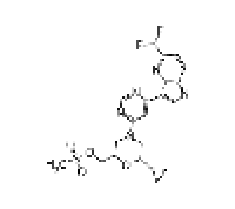 CS(=O)(=O)OCC1CN(c2cc(-c3cnc4ccc(C(F)F)nn34)ncn2)CC(C2CC2)O1